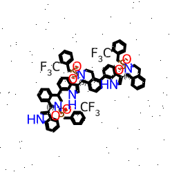 O=S(=O)(Cc1cccc(C(F)(F)F)c1)N1CC(c2cccc3c([C@@H]4c5cccc(-c6cccc7c([C@H]8c9ccccc9CCN8S(=O)(=O)Cc8ccccc8C(F)(F)F)c[nH]c67)c5CCN4S(=O)(=O)Cc4ccccc4C(F)(F)F)c[nH]c23)c2ccccc2[C@@H]1c1c[nH]c2ccccc12